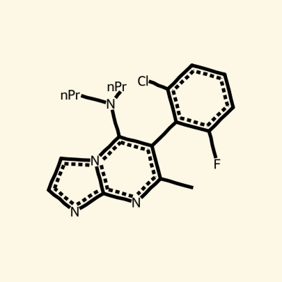 CCCN(CCC)c1c(-c2c(F)cccc2Cl)c(C)nc2nccn12